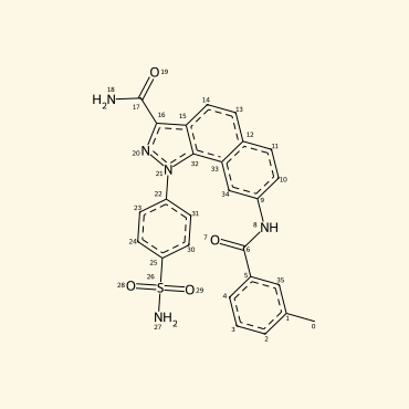 Cc1cccc(C(=O)Nc2ccc3ccc4c(C(N)=O)nn(-c5ccc(S(N)(=O)=O)cc5)c4c3c2)c1